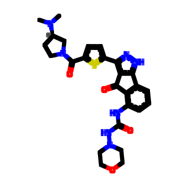 CN(C)[C@@H]1CCN(C(=O)c2ccc(-c3n[nH]c4c3C(=O)c3c(NC(=O)NN5CCOCC5)cccc3-4)s2)C1